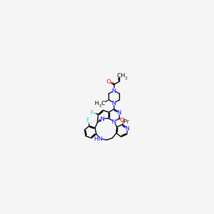 C=CC(=O)N1CCN(c2nc(=O)n3c4nc(c(F)cc24)-c2c(F)cccc2NCCc2ccnc(C(C)C)c2-3)[C@@H](C)C1